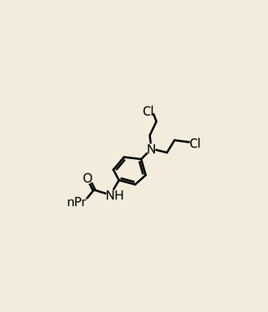 CCCC(=O)Nc1ccc(N(CCCl)CCCl)cc1